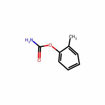 Cc1ccccc1OC(N)=O